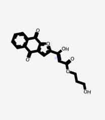 O=C(/C=C(\O)c1cc2c(o1)C(=O)c1ccccc1C2=O)OCCCO